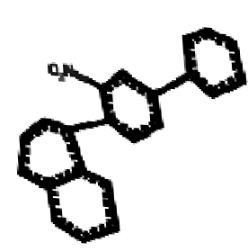 O=[N+]([O-])c1cc(-c2ccccc2)ccc1-c1cccc2ccccc12